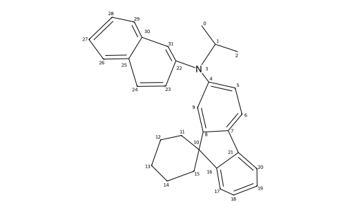 CC(C)N(c1ccc2c(c1)C1(CCCCC1)c1ccccc1-2)c1ccc2ccccc2c1